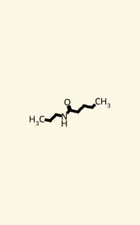 CCCCC(=O)NCCC